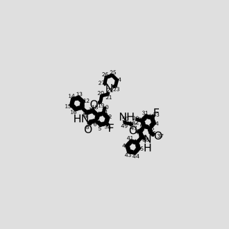 Cc1cc(F)cc2c(=O)[nH]c(-c3ccccc3)c(OCCCN3CCCCC3)c12.Cc1cc(F)cc2c(=O)[nH]c(-c3ccccc3)c(OCCN)c12